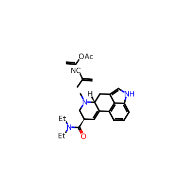 C=C(C)C#N.C=COC(C)=O.CCN(CC)C(=O)[C@@H]1C=C2c3cccc4[nH]cc(c34)C[C@H]2N(C)C1